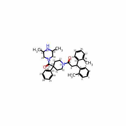 Cc1ccccc1C(CC(=O)N1CCC(C(=O)N2CC(C)NC(C)C2)(c2ccccc2)CC1)c1ccccc1C